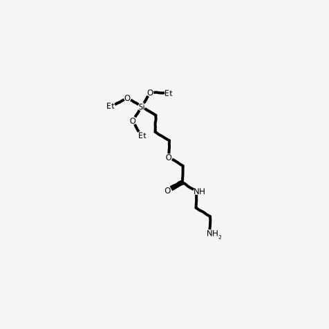 CCO[Si](CCCOCC(=O)NCCN)(OCC)OCC